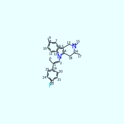 CC(=Cn1c2c(c3cc(C)ccc31)CN(C)C(C)C2)c1ccc(F)cc1